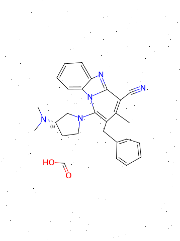 Cc1c(Cc2ccccc2)c(N2CC[C@H](N(C)C)C2)n2c(nc3ccccc32)c1C#N.O=CO